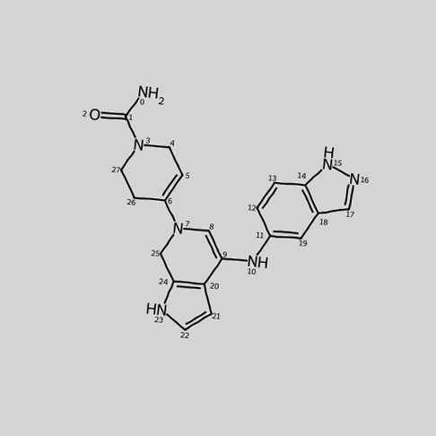 NC(=O)N1CC=C(N2C=C(Nc3ccc4[nH]ncc4c3)c3cc[nH]c3C2)CC1